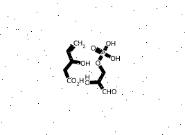 C=CC(O)CC(=O)O.O=CC(O)COP(=O)(O)O